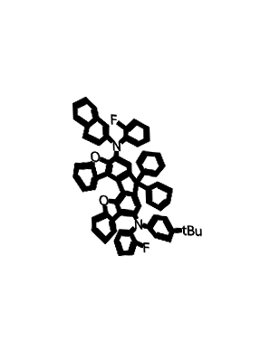 CC(C)(C)c1ccc(N(c2ccccc2F)c2cc3c(c4oc5ccccc5c24)-c2c(cc(N(c4ccc5ccccc5c4)c4ccccc4F)c4oc5ccccc5c24)C3(c2ccccc2)c2ccccc2)cc1